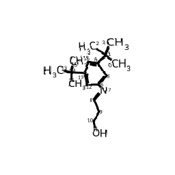 CC(C)(C)c1cc(N=CCCO)cc(C(C)(C)C)c1